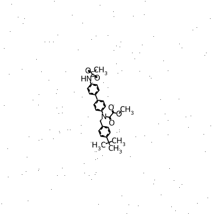 COC(=O)C(=O)N(Cc1ccc(C(C)(C)C)cc1)c1ccc(-c2ccc(NS(C)(=O)=O)cc2)cc1